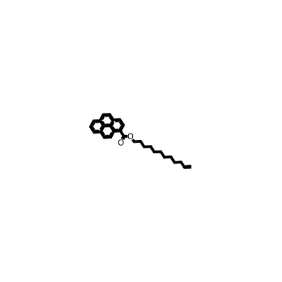 C=CCCCCCCCCCCOC(=O)c1ccc2ccc3cccc4ccc1c2c34